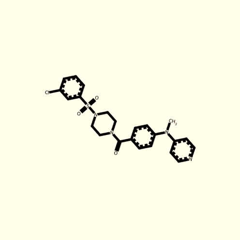 CN(c1ccncc1)c1ccc(C(=O)N2CCN(S(=O)(=O)c3cccc(Cl)c3)CC2)cc1